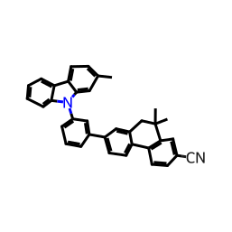 Cc1ccc2c3ccccc3n(-c3cccc(-c4ccc5c(c4)CC(C)(C)c4cc(C#N)ccc4-5)c3)c2c1